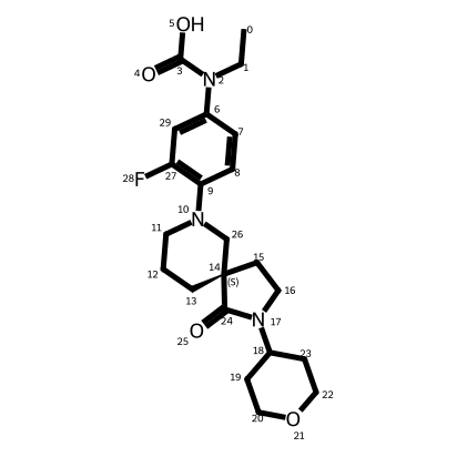 CCN(C(=O)O)c1ccc(N2CCC[C@]3(CCN(C4CCOCC4)C3=O)C2)c(F)c1